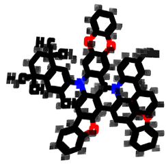 Cc1cc2c(cc1N1c3cc4c(cc3B3c5c1cc1c(oc6ccccc61)c5-c1cc5c(cc1N3c1ccc(C(C)(C)C)cc1-c1ccccc1)oc1ccccc15)Oc1ccccc1O4)C(C)(C)CCC2(C)C